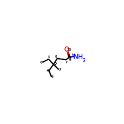 CCC(C)(CC)CCC(N)=O